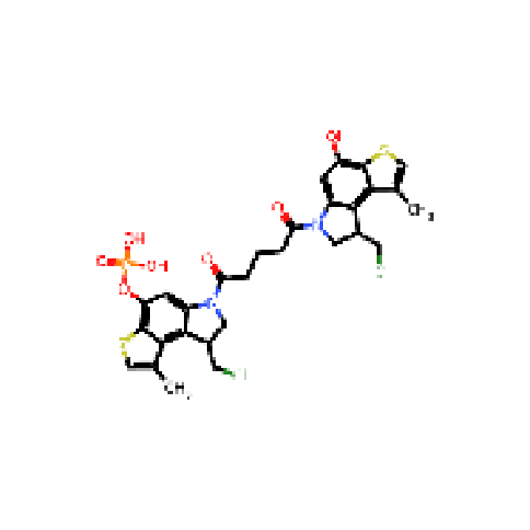 Cc1csc2c(O)cc3c(c12)C(CCl)CN3C(=O)CCCC(=O)N1CC(CCl)c2c1cc(OP(=O)(O)O)c1scc(C)c21